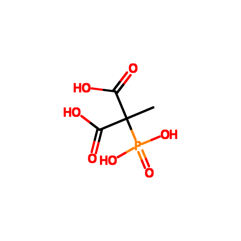 CC(C(=O)O)(C(=O)O)P(=O)(O)O